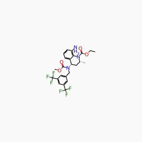 CCOC(=O)N1c2c(N)cccc2[C@@H](N(Cc2cc(C(F)(F)F)cc(C(F)(F)F)c2)C(=O)OC)C[C@H]1C